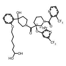 CCC[C@H]1N(C(=O)c2ncccc2C(F)(F)F)CCC[C@@]1(Oc1csc(C(F)(F)F)c1)C(=O)N1CCC(O)(c2ccccc2OCCCCCC(O)O)CC1